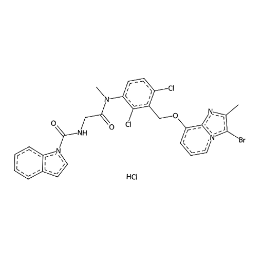 Cc1nc2c(OCc3c(Cl)ccc(N(C)C(=O)CNC(=O)n4ccc5ccccc54)c3Cl)cccn2c1Br.Cl